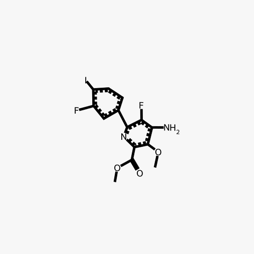 COC(=O)c1nc(-c2ccc(I)c(F)c2)c(F)c(N)c1OC